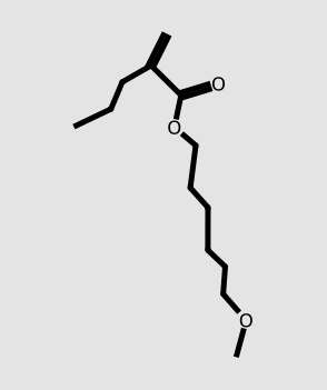 C=C(CCC)C(=O)OCCCCCCOC